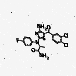 CC(C(N)=O)N(c1ccc(F)cc1)c1nc(N)c(C(=O)c2ccc(Cl)c(Cl)c2)s1